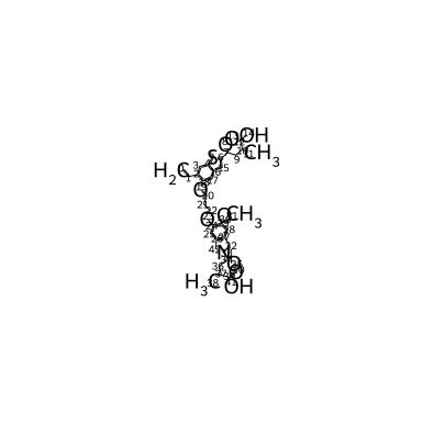 C=Cc1cc2sc(C(=O)C[C@H](C)C(=O)O)cc2cc1OCCCOc1cc2c(cc1OC)CN(C(=O)C[C@H](C)C(=O)O)C2